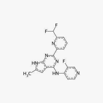 Cc1cc2c(Nc3ccncc3F)nc(-c3cccc(C(F)F)n3)nc2[nH]1